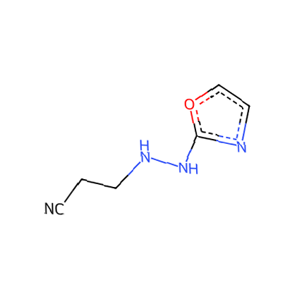 N#CCCNNc1ncco1